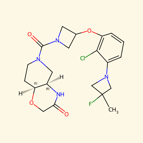 CC1(F)CN(c2cccc(OC3CN(C(=O)N4CC[C@@H]5OCC(=O)N[C@@H]5C4)C3)c2Cl)C1